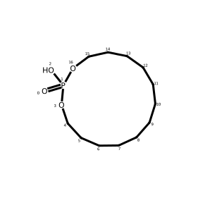 O=P1(O)OCCCCCCCCCCCCO1